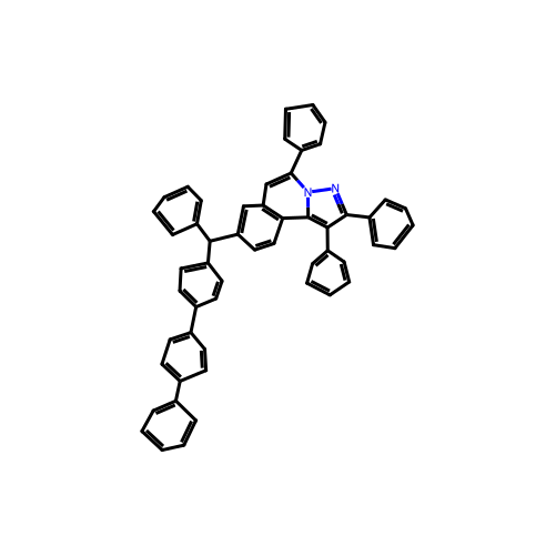 c1ccc(-c2ccc(-c3ccc(C(c4ccccc4)c4ccc5c(c4)cc(-c4ccccc4)n4nc(-c6ccccc6)c(-c6ccccc6)c54)cc3)cc2)cc1